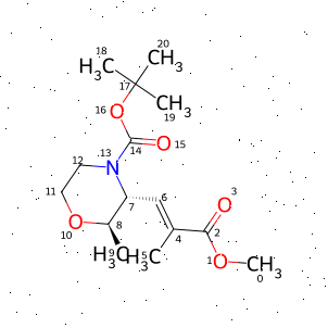 COC(=O)/C(C)=C/[C@@H]1[C@@H](C)OCCN1C(=O)OC(C)(C)C